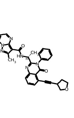 Cc1nn2cccnc2c1C(=O)N[C@H](C)c1nc2cccc(C#CC3CCOC3)c2c(=O)n1-c1ccccc1